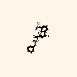 O=C(ONCc1ccccc1)c1cc(=O)c2cccc([N+](=O)[O-])c2o1